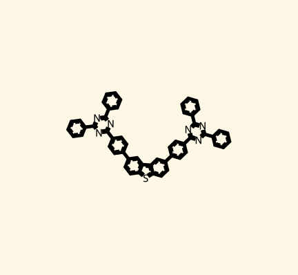 c1ccc(-c2nc(-c3ccccc3)nc(-c3ccc(-c4ccc5sc6ccc(-c7ccc(-c8nc(-c9ccccc9)nc(-c9ccccc9)n8)cc7)cc6c5c4)cc3)n2)cc1